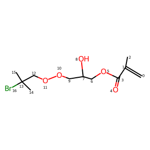 C=C(C)C(=O)OCC(O)COOCC(C)(C)Br